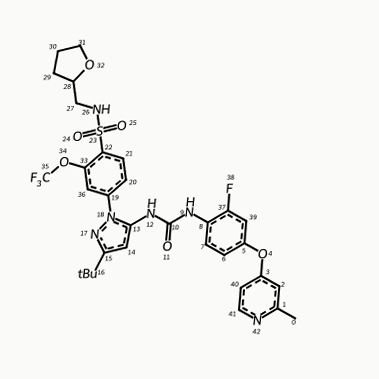 Cc1cc(Oc2ccc(NC(=O)Nc3cc(C(C)(C)C)nn3-c3ccc(S(=O)(=O)NCC4CCCO4)c(OC(F)(F)F)c3)c(F)c2)ccn1